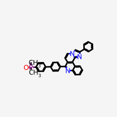 CP(C)(=O)c1ccc(-c2ccc(-c3nc4ccccc4c4c3ccn3cc(-c5ccccc5)nc43)cc2)cc1